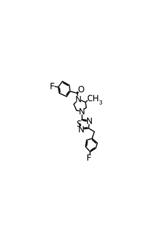 CC1CN(c2nc(Cc3ccc(F)cc3)ns2)CCN1C(=O)c1ccc(F)cc1